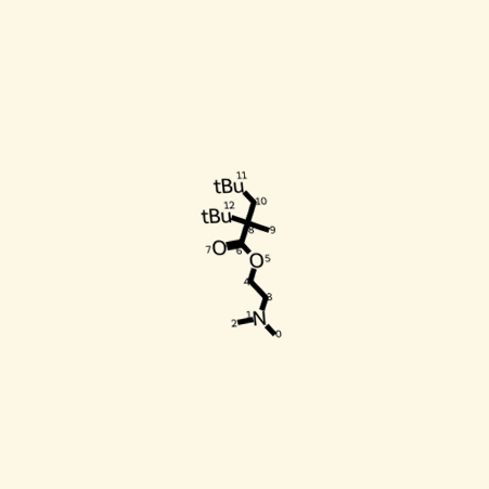 CN(C)CCOC(=O)C(C)(CC(C)(C)C)C(C)(C)C